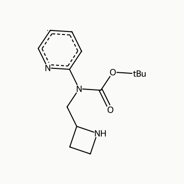 CC(C)(C)OC(=O)N(CC1CCN1)c1cc[c]cn1